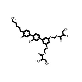 C=C(CO)C(=O)OCOc1cc(OCOC(=O)C(=C)CO)cc(-c2ccc(-c3ccc(CCCCCC(F)(F)F)c(F)c3)c(CC)c2)c1